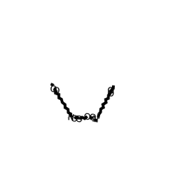 CCOOCCCCCCCCCCN(C)OCOCCOCON(C)CCCCCCCCCCOOCC